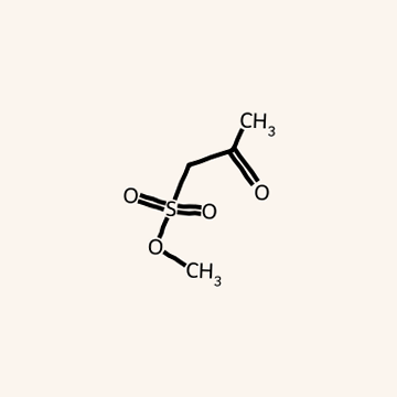 COS(=O)(=O)CC(C)=O